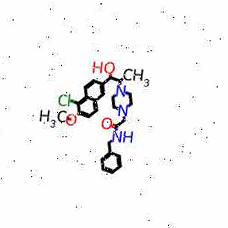 COc1ccc2cc(C(O)C(C)N3CCN(CC(=O)NCc4ccccc4)CC3)ccc2c1Cl